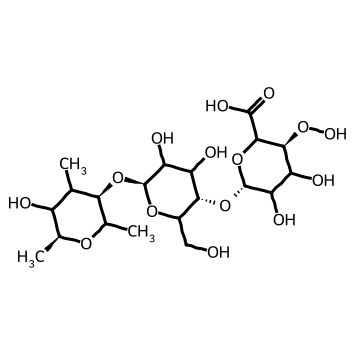 CC1O[C@@H](C)C(O)C(C)[C@H]1O[C@@H]1OC(CO)[C@@H](O[C@@H]2OC(C(=O)O)[C@@H](OO)C(O)C2O)C(O)C1O